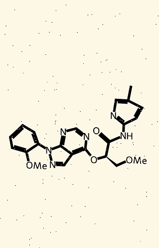 COC[C@@H](Oc1ncnc2c1cnn2-c1ccccc1OC)C(=O)Nc1ccc(C)cn1